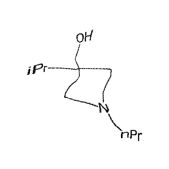 CCCN1CC(O)(C(C)C)C1